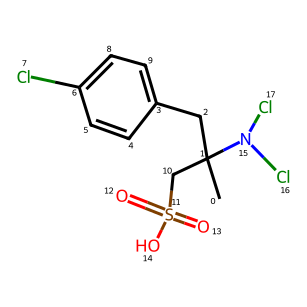 CC(Cc1ccc(Cl)cc1)(CS(=O)(=O)O)N(Cl)Cl